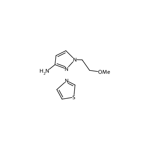 COCCn1ccc(N)n1.c1cscn1